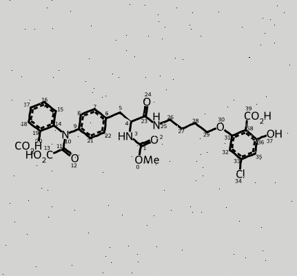 COC(=O)N[C@@H](Cc1ccc(N(C(=O)C(=O)O)c2ccccc2C(=O)O)cc1)C(=O)NCCCCOc1cc(Cl)cc(O)c1C(=O)O